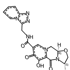 C[C@H]1CO[C@@H]2Cn3cc(C(=O)NCc4nnc5ccccn45)c(=O)c(O)c3C(=O)N12